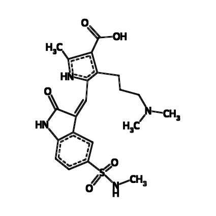 CNS(=O)(=O)c1ccc2c(c1)C(=Cc1[nH]c(C)c(C(=O)O)c1CCCN(C)C)C(=O)N2